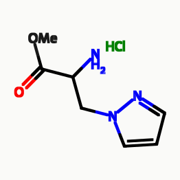 COC(=O)C(N)Cn1cccn1.Cl